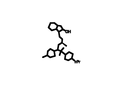 CCCC1CCC(C(C)(C)C(C[C@H](C)CCC2C(O)CC3CCCCC32)C2CCC(C)CC2)CC1